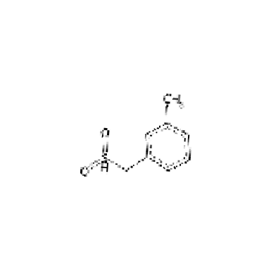 Cc1cccc(C[SH](=O)=O)c1